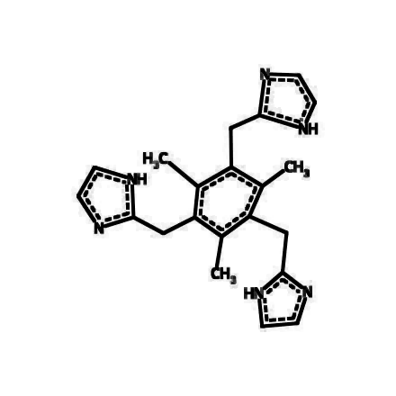 Cc1c(Cc2ncc[nH]2)c(C)c(Cc2ncc[nH]2)c(C)c1Cc1ncc[nH]1